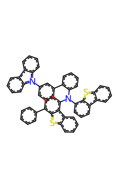 c1ccc(-c2ccc(N(c3ccccc3-c3cccc(-n4c5ccccc5c5ccccc54)c3)c3cccc4c3sc3ccccc34)c3c2sc2ccccc23)cc1